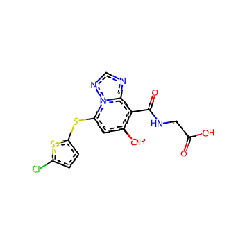 O=C(O)CNC(=O)c1c(O)cc(Sc2ccc(Cl)s2)n2ncnc12